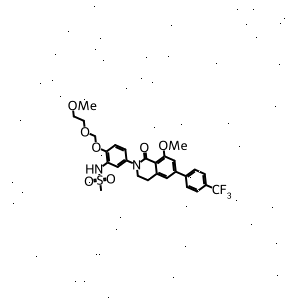 COCCOCOc1ccc(N2CCc3cc(-c4ccc(C(F)(F)F)cc4)cc(OC)c3C2=O)cc1NS(C)(=O)=O